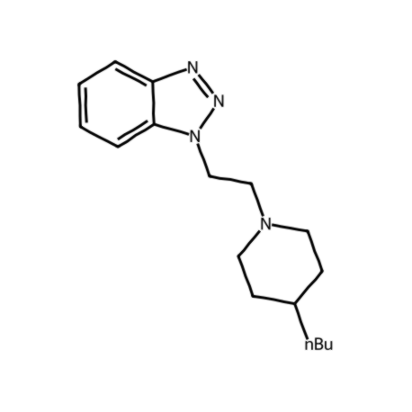 CCCCC1CCN(CCn2nnc3ccccc32)CC1